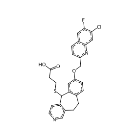 O=C(O)CCSC1c2ccncc2CCc2ccc(OCc3ccc4cc(F)c(Cl)cc4n3)cc21